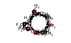 CC[C@H](C)[C@@H]1NC(=O)[C@H](CC(C)C)N(C)C(=O)C[C@@H](C(=O)N(C)C)N(C)C(=O)[C@H]([C@@H](C)CC)N(C)C(=O)C2(CCCC2)NC(=O)[C@H](Cc2ccc(OC(F)(F)F)cc2)N(C)C(=O)[C@H](CCc2ccc(C(F)(F)F)c(Cl)c2)NC(=O)CN(C)C(=O)[C@H](Cc2ccc(C)cc2)N(C)C(=O)[C@@H]2CCN2C(=O)[C@H](C)N(C)C1=O